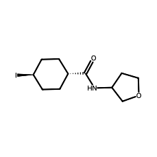 O=C(NC1CCOC1)[C@H]1CC[C@H](I)CC1